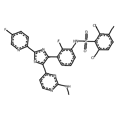 CNc1nccc(-c2sc(-c3ccc(F)cn3)nc2-c2cccc(NS(=O)(=O)c3c(Cl)ccc(C)c3Cl)c2F)n1